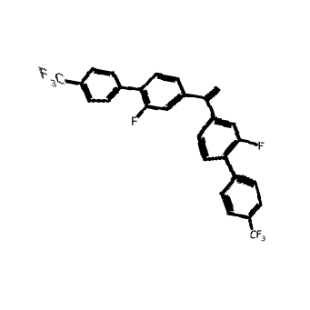 C=C(c1ccc(-c2ccc(C(F)(F)F)cc2)c(F)c1)c1ccc(-c2ccc(C(F)(F)F)cc2)c(F)c1